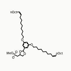 CCCCCCCC/C=C\CCCCCCCCOc1cc(OCCCCCCCC/C=C\CCCCCCCC)cc(C2OCC(CS(=O)(=O)OC)O2)c1